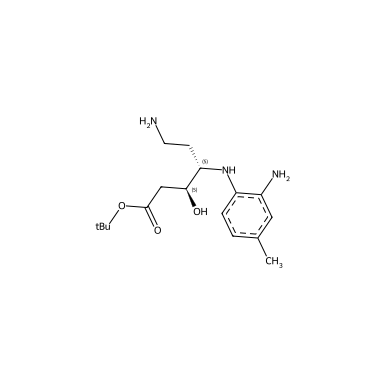 Cc1ccc(N[C@@H](CCN)[C@@H](O)CC(=O)OC(C)(C)C)c(N)c1